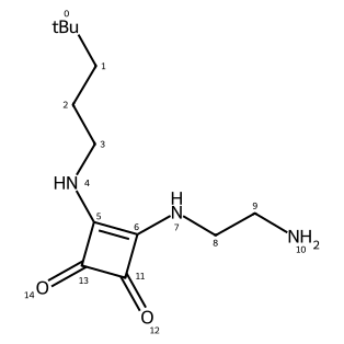 CC(C)(C)CCCNc1c(NCCN)c(=O)c1=O